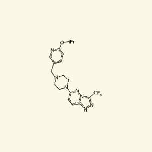 CC(C)Oc1ccc(CN2CCN(c3ccc4nnc(C(F)(F)F)n4n3)CC2)cn1